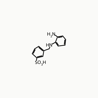 Nc1ccccc1NCc1cccc(S(=O)(=O)O)c1